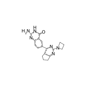 Nc1nc2ccc(-c3nc(N4CCC4)nc4c3CCC4)cc2c(=O)[nH]1